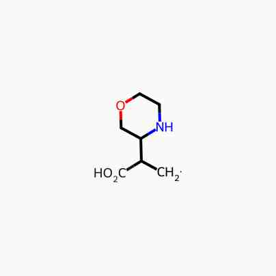 [CH2]C(C(=O)O)C1COCCN1